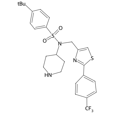 CC(C)(C)c1ccc(S(=O)(=O)N(Cc2csc(-c3ccc(C(F)(F)F)cc3)n2)C2CCNCC2)cc1